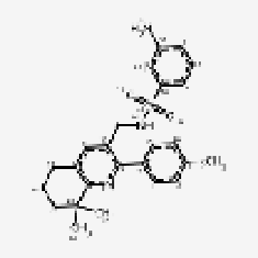 Cc1ccc(-c2nc3c(cc2CNS(=O)(=O)c2cccc(N)n2)CCCC3(C)C)cc1